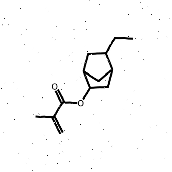 [CH2]CC1CC2CC1CC2OC(=O)C(=C)C